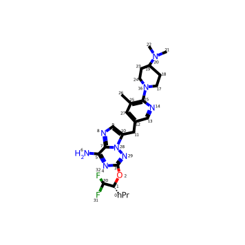 CCC[C@@H](Oc1nc(N)c2ncc(Cc3cnc(N4CCC(N(C)C)CC4)c(C)c3)n2n1)C(F)F